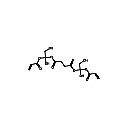 C=CC(=O)OC(O)(CO)OC(=O)CCC(=O)OC(O)(CO)OC(=O)C=C